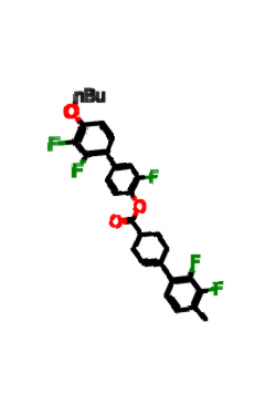 CCCCOc1ccc(-c2ccc(OC(=O)C3CC=C(c4ccc(C)c(F)c4F)CC3)c(F)c2)c(F)c1F